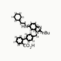 CCCCc1nc2ccc(NCCC3CCCCC3)cc2n1Cc1ccc(-c2ccccc2C(=O)O)cc1